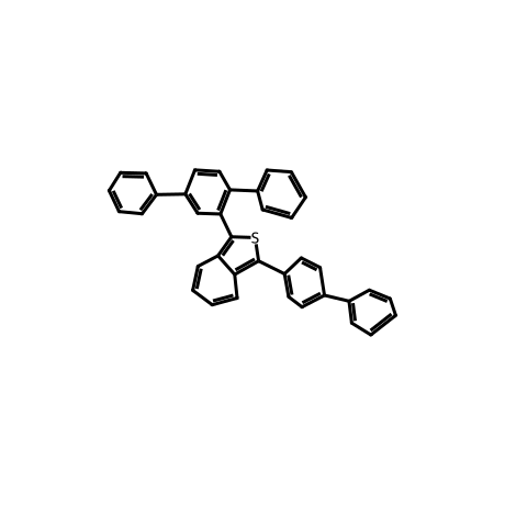 c1ccc(-c2ccc(-c3sc(-c4cc(-c5ccccc5)ccc4-c4ccccc4)c4ccccc34)cc2)cc1